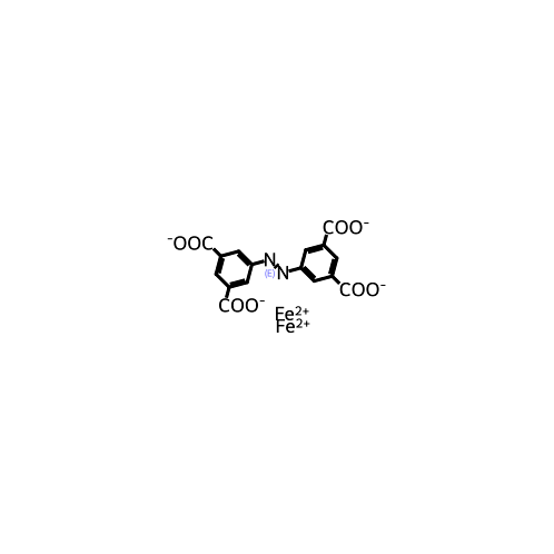 O=C([O-])c1cc(/N=N/c2cc(C(=O)[O-])cc(C(=O)[O-])c2)cc(C(=O)[O-])c1.[Fe+2].[Fe+2]